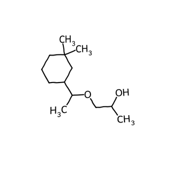 CC(O)COC(C)C1CCCC(C)(C)C1